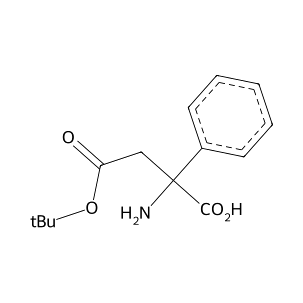 CC(C)(C)OC(=O)CC(N)(C(=O)O)c1ccccc1